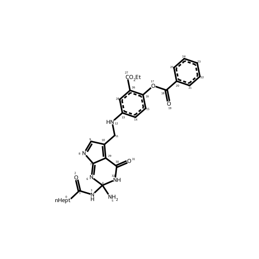 CCCCCCCC(=O)NC1(N)N=C2N=CC(CNc3ccc(OC(=O)c4ccccc4)c(C(=O)OCC)c3)=C2C(=O)N1